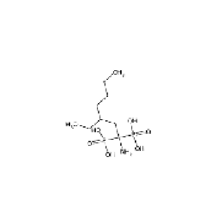 CCCCC(CC)CC(N)(P(=O)(O)O)P(=O)(O)O